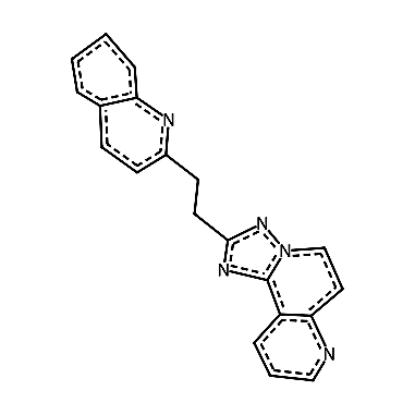 c1ccc2nc(CCc3nc4c5cccnc5ccn4n3)ccc2c1